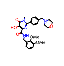 COc1cccc(CNC(=O)c2nc(-c3ccc(CN4CCOCC4)cc3)n(C)c(=O)c2O)c1OC